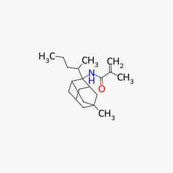 C=C(C)C(=O)NC1(C(C)CCC)C2CC3CC1CC(C)(C3)C2